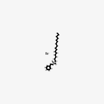 CCCCCCCCCCCCCCCC[N+](C)(C)CCc1ccccc1.[Br-]